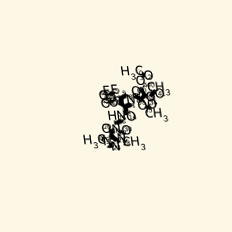 CC(=O)OC[C@H]1O[C@@H]([n+]2cccc(C(=O)NCCn3c(=O)c4c(ncn4C)n(C)c3=O)c2)[C@H](OC(C)=O)[C@@H]1OC(C)=O.O=S(=O)([O-])C(F)(F)F